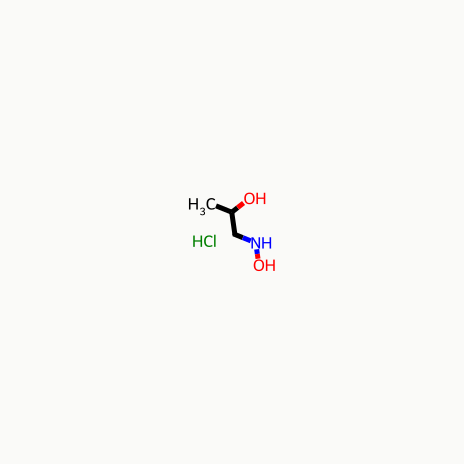 CC(O)CNO.Cl